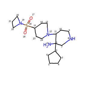 NC1(C2CCCC2)CNCCC1N1CCC(S(=O)(=O)N2CCC2)CC1